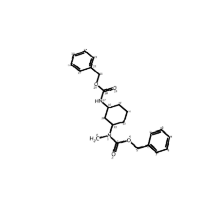 CN(C(=O)OCc1ccccc1)C1CCCC(NC(=O)OCc2ccccc2)C1